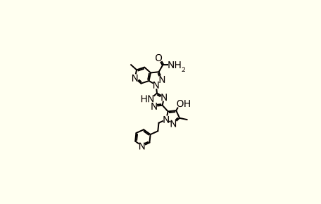 Cc1cc2c(C(N)=O)nn(-c3nc(-c4c(O)c(C)nn4CCc4cccnc4)n[nH]3)c2cn1